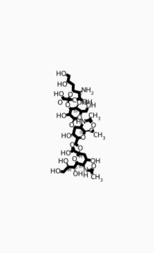 CO[C@H]1OC(CO[C@]2(C(=O)O)CC(O)[C@@H](NC(C)=O)C([C@H](O)[C@H](O)CO)O2)[C@H](O)C(O[C@@H]2OC(CO)[C@H](O)C(O[C@]3(C(=O)O)CC(O)[C@@H](N)C(C[C@H](O)CO)O3)C2O)C1NC(C)=O